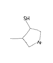 CC1C[N]CC1S